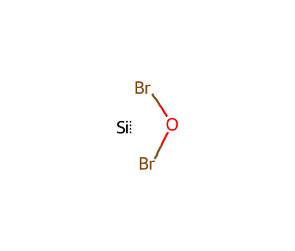 BrOBr.[Si]